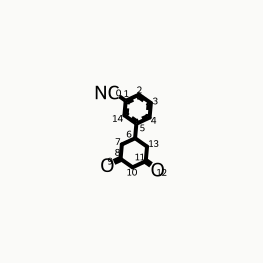 N#Cc1cccc(C2CC(=O)CC(=O)C2)c1